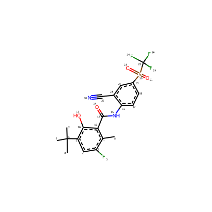 Cc1c(F)cc(C(C)(C)C)c(O)c1C(=O)Nc1ccc(S(=O)(=O)C(F)(F)F)cc1C#N